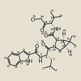 CC(C)C[C@H](NC(=O)c1cc2ccccc2[nH]1)C(=O)N1C[C@H]2[C@@H](C1C(=O)N[C@H](C(=O)CCl)C(C)C)C2(C)C